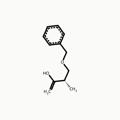 C=C(O)[C@@H](C)COCc1ccccc1